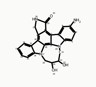 Nc1ccc2c(c1)c1c3c(c4c5ccccc5n5c4c1n2CC(O)C(O)C5)CNC3=O